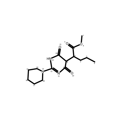 CCCC(C(=O)OC)C1C(=O)N=C(N2CCCCC2)NC1=O